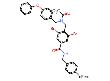 CCCCCc1ccc(CNC(=O)c2cc(Br)c(CN(Cc3ccc(Oc4ccccc4)cc3)C(=O)C(=O)O)c(Br)c2)cc1